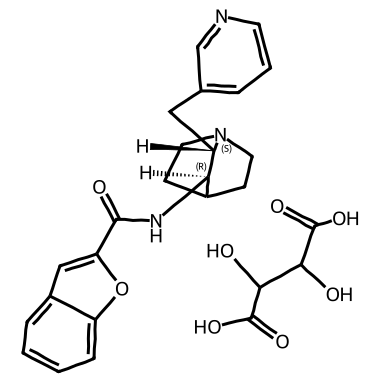 O=C(N[C@@H]1C2CCN(CC2)[C@H]1Cc1cccnc1)c1cc2ccccc2o1.O=C(O)C(O)C(O)C(=O)O